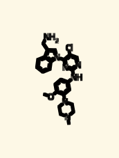 COc1ccc(Nc2ncc(Cl)c(-n3cc(CN)c4ccccc43)n2)cc1N1CCN(C)CC1